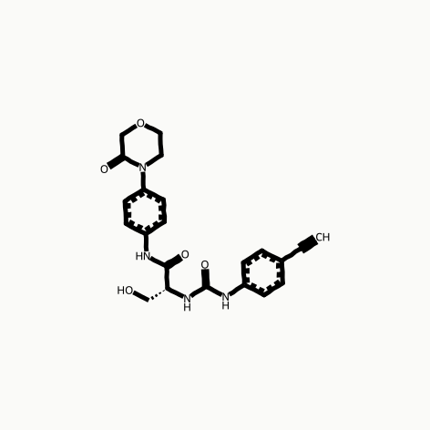 C#Cc1ccc(NC(=O)N[C@H](CO)C(=O)Nc2ccc(N3CCOCC3=O)cc2)cc1